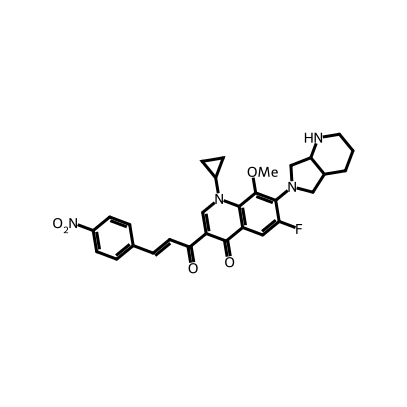 COc1c(N2CC3CCCNC3C2)c(F)cc2c(=O)c(C(=O)C=Cc3ccc([N+](=O)[O-])cc3)cn(C3CC3)c12